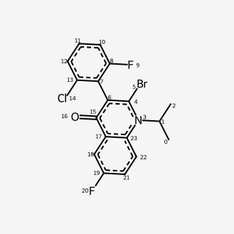 CC(C)n1c(Br)c(-c2c(F)cccc2Cl)c(=O)c2cc(F)ccc21